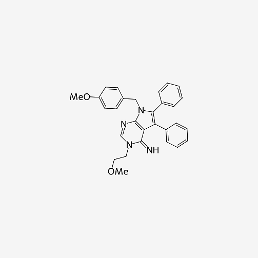 COCCn1cnc2c(c(-c3ccccc3)c(-c3ccccc3)n2Cc2ccc(OC)cc2)c1=N